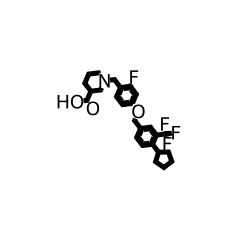 O=C(O)C1CCCN(Cc2ccc(OCc3ccc(C4CCCC4)c(C(F)(F)F)c3)cc2F)C1